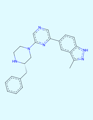 Cc1n[nH]c2ccc(-c3cncc(N4CCN[C@@H](Cc5ccccc5)C4)n3)cc12